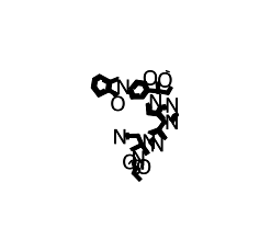 CCC(C(=O)OC)(c1ccc(N2Cc3ccccc3C2=O)cc1)n1ccc2c(-c3cnn(C4(CC#N)CN(S(=O)(=O)CC)C4)c3)ncnc21